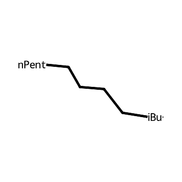 CCCCCCCCC[C](C)CC